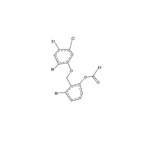 CCC(=O)Oc1cccc(Br)c1COc1cc(Cl)c(CC)cc1Br